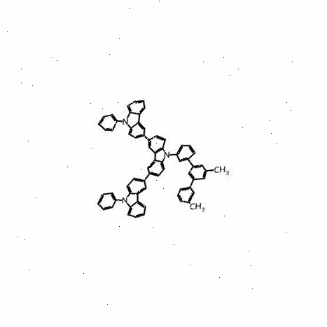 Cc1cccc(-c2cc(C)cc(-c3cccc(-n4c5ccc(-c6ccc7c(c6)c6ccccc6n7-c6ccccc6)cc5c5cc(-c6ccc7c(c6)c6ccccc6n7-c6ccccc6)ccc54)c3)c2)c1